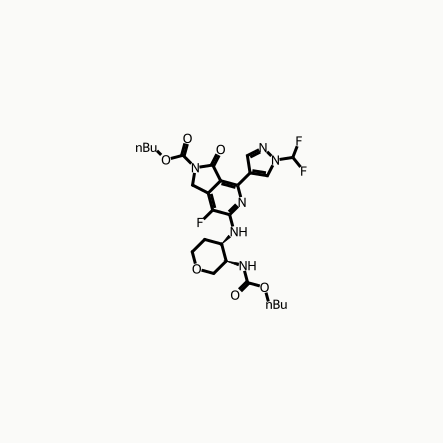 CCCCOC(=O)N[C@H]1COCC[C@H]1Nc1nc(-c2cnn(C(F)F)c2)c2c(c1F)CN(C(=O)OCCCC)C2=O